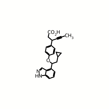 CC#CC(CC(=O)O)c1ccc(OC(CC2CC2)c2cccc3[nH]ncc23)cc1